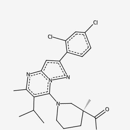 Cc1nc2cc(-c3ccc(Cl)cc3Cl)nn2c(N2CCC[C@](C)(C(=O)O)C2)c1C(C)C